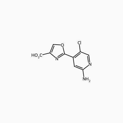 Nc1cc(-c2nc(C(=O)O)co2)c(Cl)cn1